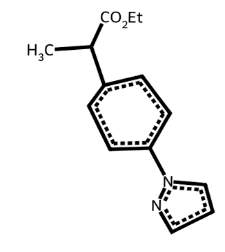 CCOC(=O)C(C)c1ccc(-n2cccn2)cc1